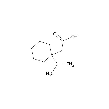 CC(C)C1(CC(=O)O)CCCCC1